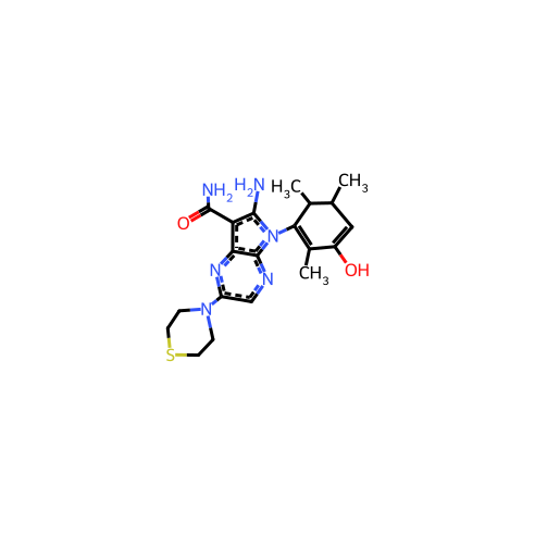 CC1=C(n2c(N)c(C(N)=O)c3nc(N4CCSCC4)cnc32)C(C)C(C)C=C1O